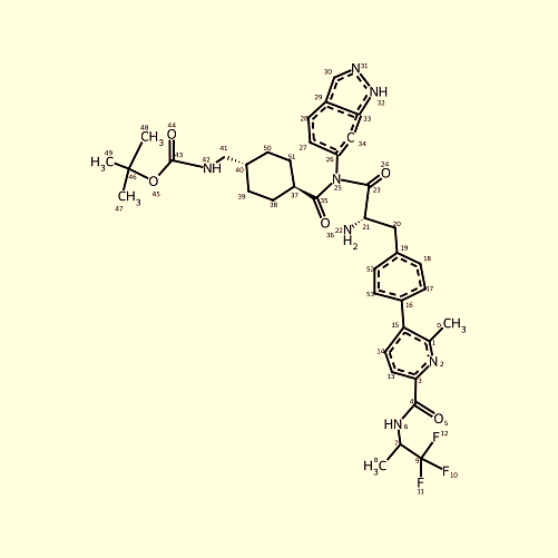 Cc1nc(C(=O)NC(C)C(F)(F)F)ccc1-c1ccc(C[C@H](N)C(=O)N(c2ccc3cn[nH]c3c2)C(=O)[C@H]2CC[C@H](CNC(=O)OC(C)(C)C)CC2)cc1